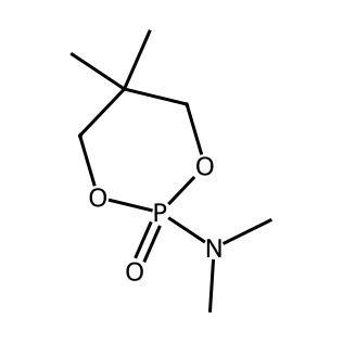 CN(C)P1(=O)OCC(C)(C)CO1